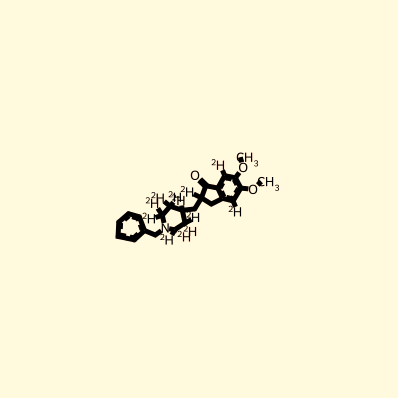 [2H]c1c2c(c([2H])c(OC)c1OC)C(=O)C([2H])(CC1([2H])C([2H])([2H])C([2H])([2H])N(Cc3ccccc3)C([2H])([2H])C1([2H])[2H])C2